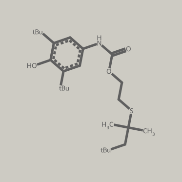 CC(C)(C)CC(C)(C)SCCOC(=O)Nc1cc(C(C)(C)C)c(O)c(C(C)(C)C)c1